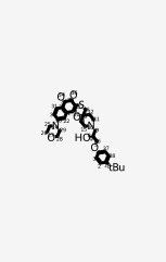 CC(C)(C)c1ccc(OC[C@@H](O)CN2CCC3(CC2)CSC2=C(O3)c3cc(N4CCOCC4)ccc3C(=O)C2=O)cc1